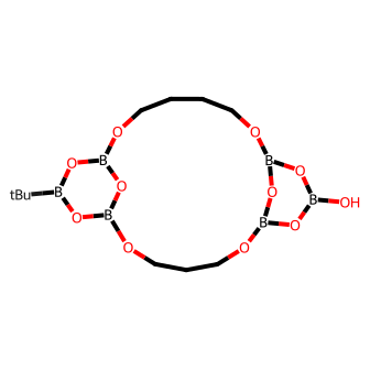 CC(C)(C)B1OB2OCCCCOB3OB(O)OB(OCCCOB(O2)O1)O3